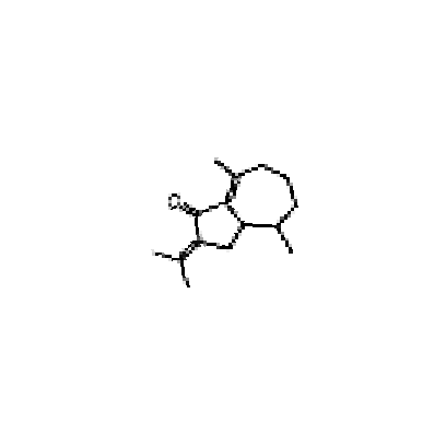 CC(C)=C1CC2C(=C(C)CCCC2C)C1=O